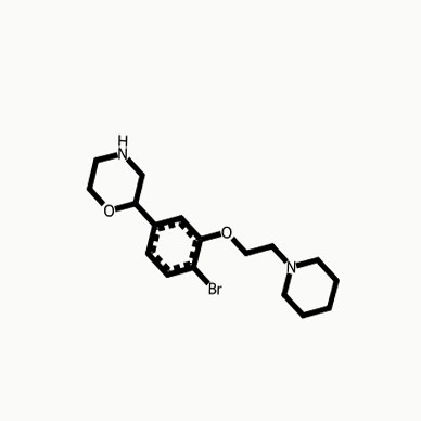 Brc1ccc(C2CNCCO2)cc1OCCN1CCCCC1